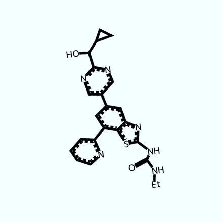 CCNC(=O)Nc1nc2cc(-c3cnc(C(O)C4CC4)nc3)cc(-c3ccccn3)c2s1